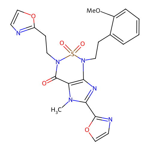 COc1ccccc1CCN1c2nc(-c3ncco3)n(C)c2C(=O)N(CCc2ncco2)S1(=O)=O